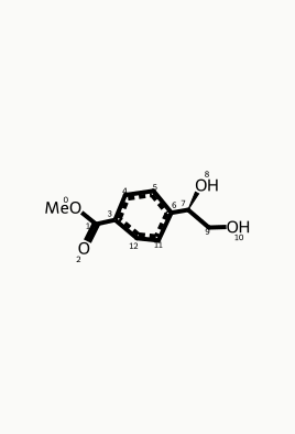 COC(=O)c1ccc([C@@H](O)CO)cc1